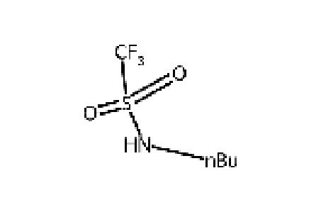 [CH2]CCCNS(=O)(=O)C(F)(F)F